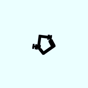 C1=NCNC1